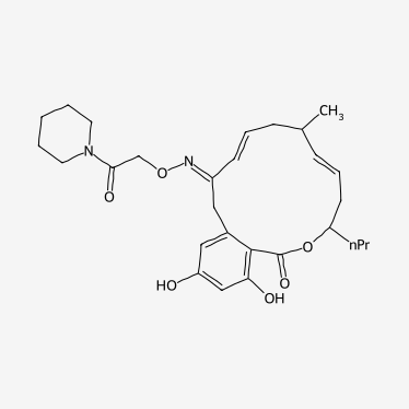 CCCC1C/C=C/C(C)C/C=C/C(=N/OCC(=O)N2CCCCC2)Cc2cc(O)cc(O)c2C(=O)O1